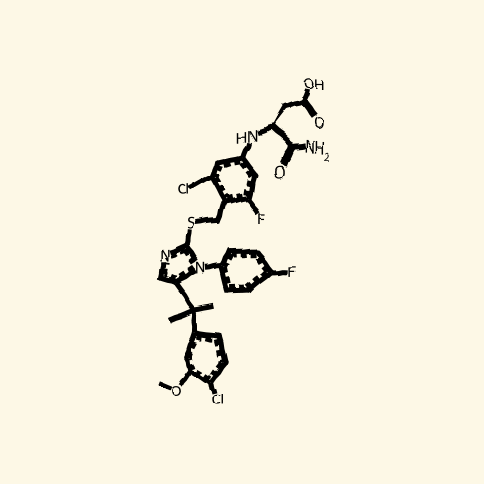 COc1cc(C(C)(C)c2cnc(SCc3c(F)cc(N[C@@H](CC(=O)O)C(N)=O)cc3Cl)n2-c2ccc(F)cc2)ccc1Cl